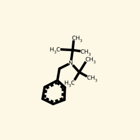 CC(C)(C)N(Cc1ccccc1)C(C)(C)C